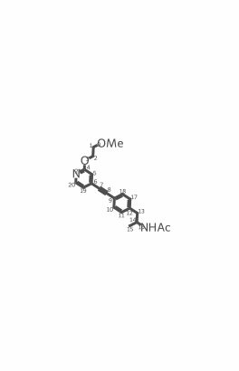 COCCOc1cc(C#Cc2ccc(CC(C)NC(C)=O)cc2)ccn1